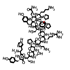 C[C@H](NC(=O)[C@H](CO)NC(=O)[C@H](CS)NC(=O)[C@H](Cc1ccc(O)cc1)NC(=O)[C@@H](N)Cc1c[nH]cn1)C(=O)N1CCC[C@@H]1C(=O)N[C@@H](CCN)C(=O)N[C@@H](CCCNC(=N)N)C(=O)N[C@@H](Cc1ccc(O)cc1)C(=O)N[C@@H](CS)C(=O)N[C@@H](Cc1ccc(O)cc1)C(=O)N[C@@H](CCC(N)=O)C(=O)N[C@@H](CCCCN)C(=O)N1CCC[C@@H]1C(=O)N1CCC[C@H]1C(=O)O